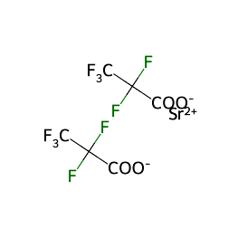 O=C([O-])C(F)(F)C(F)(F)F.O=C([O-])C(F)(F)C(F)(F)F.[Sr+2]